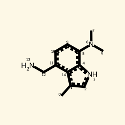 Cc1c[nH]c2c(N(C)C)ccc(CN)c12